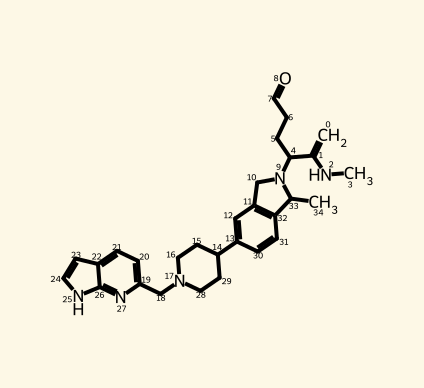 C=C(NC)C(CCC=O)N1Cc2cc(C3CCN(Cc4ccc5cc[nH]c5n4)CC3)ccc2C1C